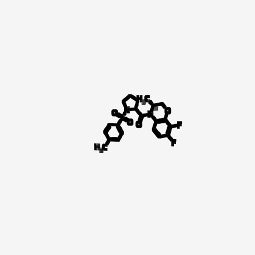 Cc1ccc(S(=O)(=O)N2CCCC2C(=O)N2c3ccc(F)c(F)c3OC[C@@H]2C)cc1